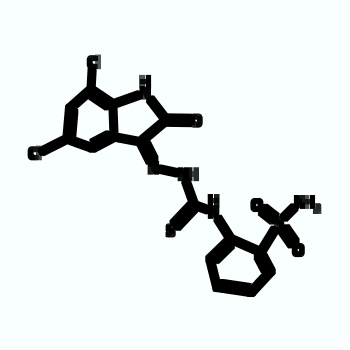 NS(=O)(=O)c1ccccc1NC(=S)NN=C1C(=O)Nc2c(Cl)cc(Cl)cc21